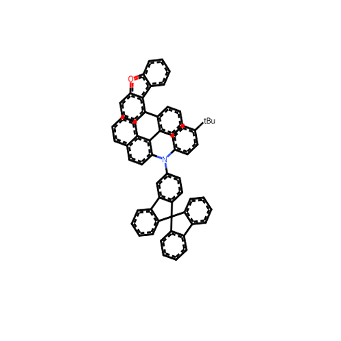 CC(C)(C)c1ccc(N(c2ccc3c(c2)-c2ccccc2C32c3ccccc3-c3ccccc32)c2ccc3ccccc3c2-c2ccccc2-c2cccc3oc4ccccc4c23)cc1